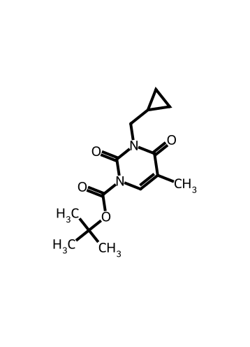 Cc1cn(C(=O)OC(C)(C)C)c(=O)n(CC2CC2)c1=O